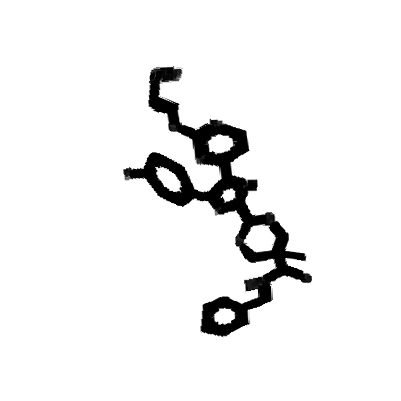 COCCOc1nccc(-c2[nH]c(C3OCC(C)(C(=O)NCc4ccccc4)CO3)nc2-c2ccc(F)cc2)n1